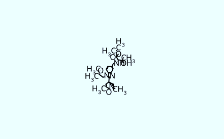 CO[C@H](C)Cn1c(-c2cc(C)c(=O)n(C)c2)nc2cc(CN[C@H](C(=O)OC(C)C)[C@@H](C)O)ccc21